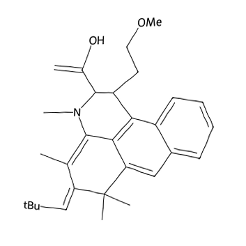 C=C(O)C1C(CCOC)c2c3c(cc4ccccc24)C(C)(C)/C(=C/C(C)(C)C)C(C)=C3N1C